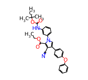 CCOC(=O)c1c(C#N)c(-c2ccc(Oc3ccccc3)cc2)cn1-c1cccc(NC(=O)OC(C)(C)C)c1